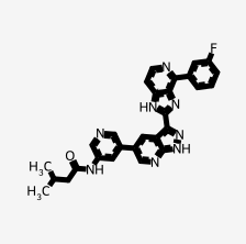 CC(C)CC(=O)Nc1cncc(-c2cnc3[nH]nc(-c4nc5c(-c6cccc(F)c6)nccc5[nH]4)c3c2)c1